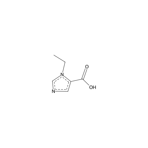 CCn1cncc1C(=O)O